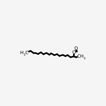 CCCCCCCCCCCCCCCCCC(CC)OC=O